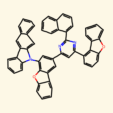 c1ccc2cc3c(cc2c1)c1ccccc1n3-c1cc(-c2cc(-c3cccc4oc5ccccc5c34)nc(-c3cccc4ccccc34)n2)cc2c1oc1ccccc12